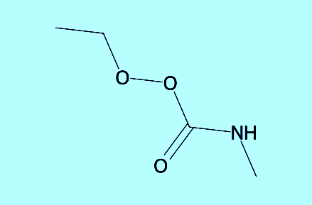 CCOOC(=O)NC